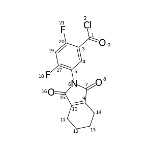 O=C(Cl)c1cc(N2C(=O)C3=C(CCCC3)C2=O)c(F)cc1F